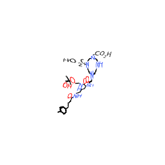 Cc1ccc(CCCC(=O)NCCCCC(NC(=O)CN2CCNCCN(CC(=O)O)CCN(CC(=O)O)CC2)C(=O)NCCOC(C)(C)CO)cc1